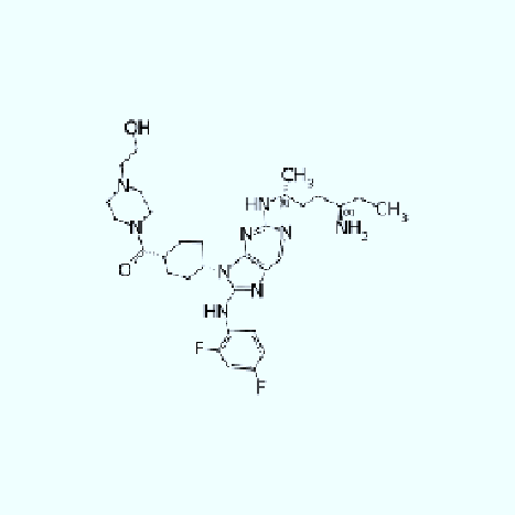 CC[C@@H](N)CC[C@@H](C)Nc1ncc2nc(Nc3ccc(F)cc3F)n([C@H]3CC[C@@H](C(=O)N4CCN(CCO)CC4)CC3)c2n1